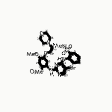 CNS(=O)(=O)c1ccccc1Nc1nc(Nc2cc(OCCN3CCOCC3)c(OC)cc2OC)ncc1Br